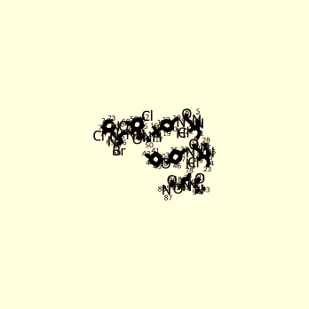 CCc1nn(C)c(C(=O)NCc2ccc(C(C)(C)C)cc2)c1Cl.CCc1nn(C)c(C(=O)NCc2ccc(Oc3ccc(C)cc3)cc2)c1Cl.CNC(=O)c1cc(Cl)cc(C)c1NC(=O)c1cc(Br)nn1-c1ncccc1Cl.Cc1cc(OC(=O)N(C)C)nn1C(=O)N(C)C